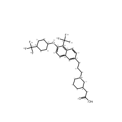 O=C(O)CC1CCCN(CCCc2ccc3c(C(F)(F)F)c(OC4CCC(C(F)(F)F)CC4)ccc3c2)C1